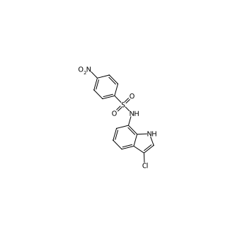 O=[N+]([O-])c1ccc(S(=O)(=O)Nc2cccc3c(Cl)c[nH]c23)cc1